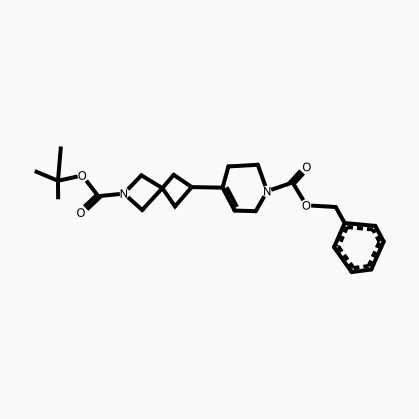 CC(C)(C)OC(=O)N1CC2(CC(C3=CCN(C(=O)OCc4ccccc4)CC3)C2)C1